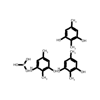 Cc1cc(O)c(C)c(S)c1.Cc1cc(O)c(C)c(S)c1.Cc1cc(O)c(C)c(S)c1.OP(O)O